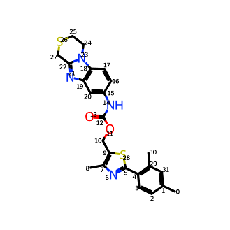 Cc1ccc(-c2nc(C)c(COC(=O)Nc3ccc4c(c3)nc3n4CCSC3)s2)c(C)c1